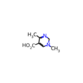 CC1=NCN(C)C=C1C(=O)O